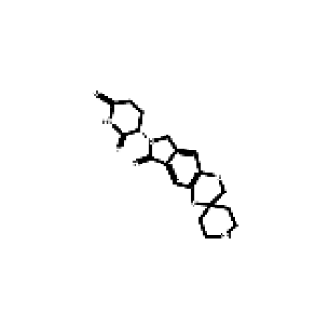 O=C1CC[C@H](N2Cc3cc4c(cc3C2=O)OC2(CCNCC2)CO4)C(=O)N1